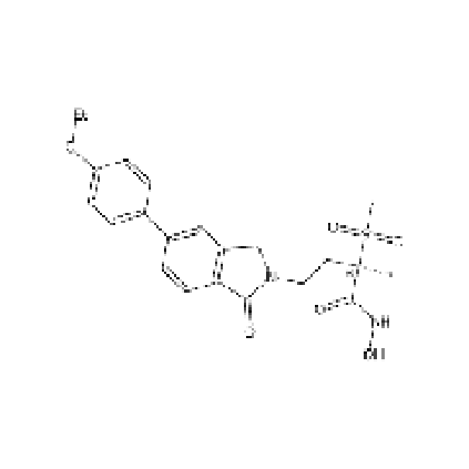 CCOc1ccc(-c2ccc3c(c2)CN(CC[C@](C)(C(=O)NO)S(C)(=O)=O)C3=O)cc1